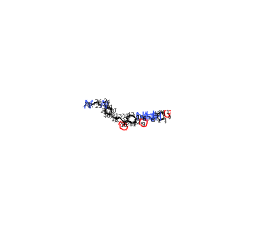 COc1ccc(CNC(=O)Nc2ccc(C(=O)/C=C/c3ccc(N(C)CCC#N)cc3)cc2)cc1